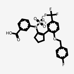 CS(=O)(=O)N(C1=C(c2cc(C(F)(F)F)ccc2OCc2ccc(F)cc2)CCC1)c1cccc(C(=O)O)c1